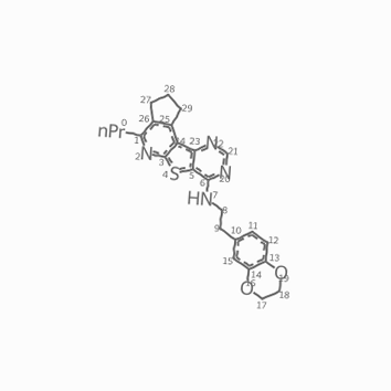 CCCc1nc2sc3c(NCCc4ccc5c(c4)OCCO5)ncnc3c2c2c1CCC2